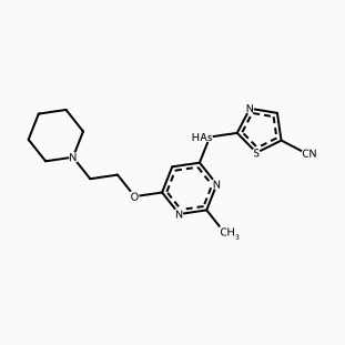 Cc1nc(OCCN2CCCCC2)cc([AsH]c2ncc(C#N)s2)n1